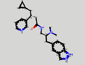 CN(C)[C@H](CNC(=O)C[C@@H](CC1CC1)c1cccnc1)Cc1ccc2[nH]ncc2c1